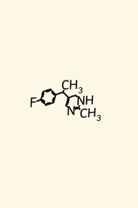 CC1=NC=C(C(C)c2ccc(F)cc2)CN1